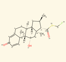 C[C@@H]1C[C@H]2[C@@H]3CCC4=CC(=O)C=C[C@]4(C)[C@H]3[C@@H](O)C[C@]2(C)[C@H]1C(=O)SCF